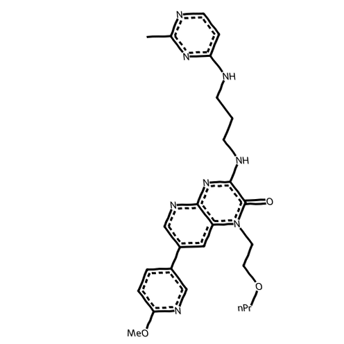 CCCOCCn1c(=O)c(NCCCNc2ccnc(C)n2)nc2ncc(-c3ccc(OC)nc3)cc21